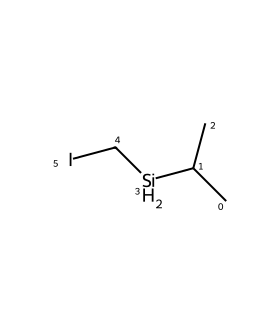 CC(C)[SiH2]CI